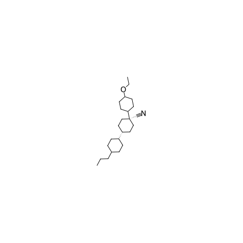 CCCC1CCC([C@H]2CC[C@](C#N)(C3CCC(OCC)CC3)CC2)CC1